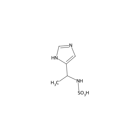 CC(NS(=O)(=O)O)c1cnc[nH]1